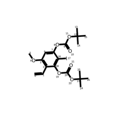 C=Cc1c(OC)cc(OC(=O)OC(C)(C)C)c(I)c1OC(=O)OC(C)(C)C